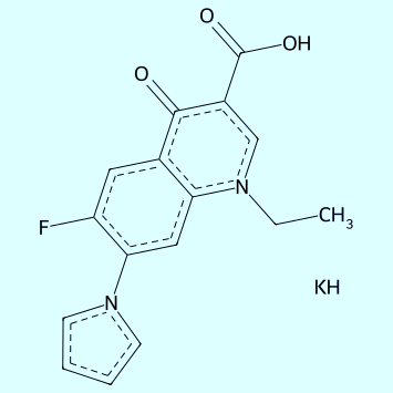 CCn1cc(C(=O)O)c(=O)c2cc(F)c(-n3cccc3)cc21.[KH]